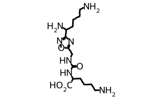 NCCCCC(NC(=O)NCc1nc(C(N)CCCCN)no1)C(=O)O